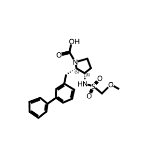 COCS(=O)(=O)N[C@H]1CCN(C(=O)O)[C@H]1Cc1cccc(-c2ccccc2)c1